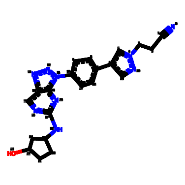 N#CCCn1cc(-c2ccc(-n3nnc4cnc(NC5CCC(O)C5)nc43)cc2)cn1